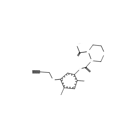 C#CCOc1cc(NC(=O)N2COCCN2C(=O)OC)c(F)cc1Cl